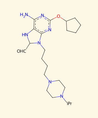 CC(C)N1CCN(CCCCN2c3nc(OC4CCCC4)nc(N)c3NC2C=O)CC1